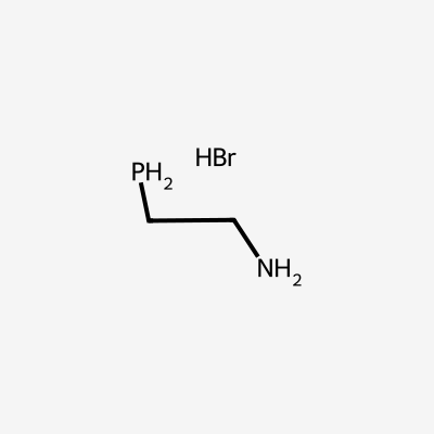 Br.NCCP